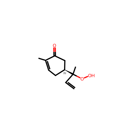 C=CC(C)(OO)[C@H]1CC=C(C)C(=O)C1